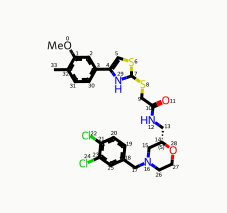 COc1cc(C2=CSC(SCC(=O)NC[C@H]3CN(Cc4ccc(Cl)c(Cl)c4)CCO3)N2)ccc1C